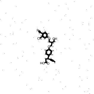 CC#CC(CC(=O)O)c1ccc(OCC(CO)COc2ccc(C#N)c(Cl)c2)cc1